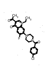 CCn1cc(C(C)=O)c(=O)c2cc(F)c(N3CCN(C(=O)c4ccc(Cl)cc4)CC3)cc21